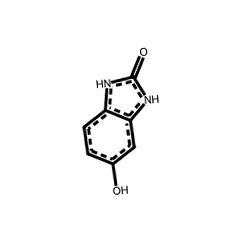 O=c1[nH]c2ccc(O)cc2[nH]1